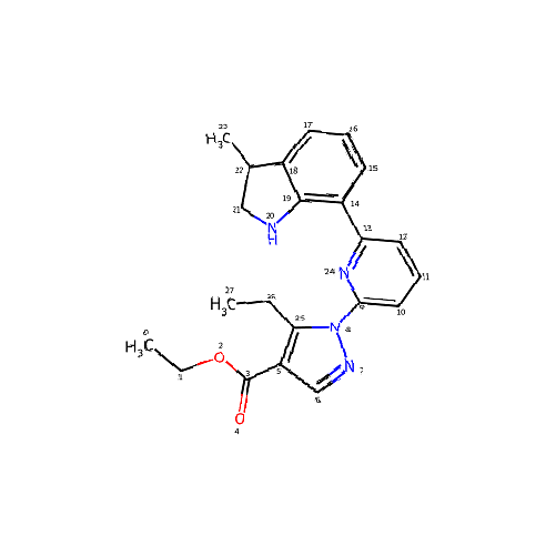 CCOC(=O)c1cnn(-c2cccc(-c3cccc4c3NCC4C)n2)c1CC